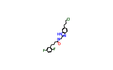 O=C(CCCc1cc(F)ccc1F)[N]Cc1nc2ccc(CCCCl)cc2[nH]1